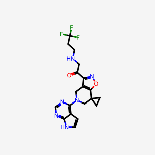 O=C(CNCCC(F)(F)F)c1noc2c1CN(c1ncnc3[nH]ccc13)CC21CC1